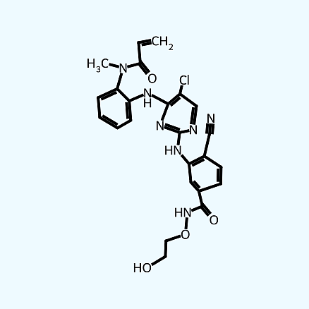 C=CC(=O)N(C)c1ccccc1Nc1nc(Nc2cc(C(=O)NOCCO)ccc2C#N)ncc1Cl